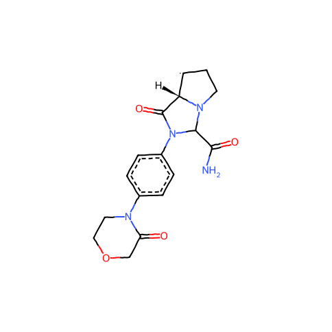 NC(=O)C1N(c2ccc(N3CCOCC3=O)cc2)C(=O)[C@@H]2[CH]CCN12